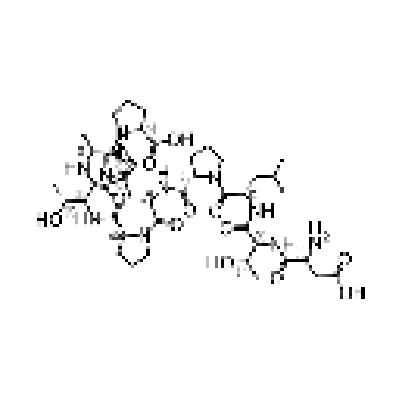 CC(C)C[C@H](NC(=O)[C@@H](NC(=O)[C@@H](N)CC(=O)O)[C@@H](C)O)C(=O)N1CCC[C@H]1C(=O)N[C@@H](Cc1c[nH]cn1)C(=O)N1CCC[C@H]1C(=O)N[C@H](C(=O)N[C@@H](C)C(=O)N1CCC[C@H]1C(=O)O)[C@@H](C)O